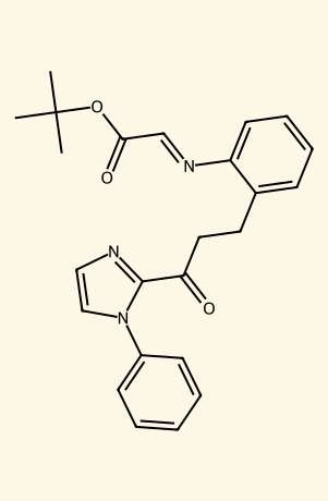 CC(C)(C)OC(=O)/C=N/c1ccccc1CCC(=O)c1nccn1-c1ccccc1